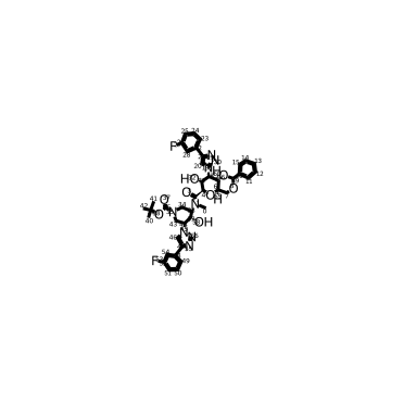 CN(C(=O)[C@@H]1O[C@@H]2COC(c3ccccc3)O[C@@H]2[C@H](n2cc(-c3cccc(F)c3)nn2)[C@H]1O)[C@@H]1CN(C(=O)OC(C)(C)C)C[C@H](n2cc(-c3cccc(F)c3)nn2)[C@H]1O